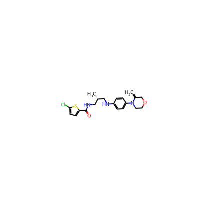 C=C1COCCN1c1ccc(NC[C@@H](C)CNC(=O)c2ccc(Cl)s2)cc1